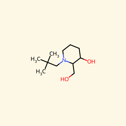 CC(C)(C)CN1CCCC(O)C1CO